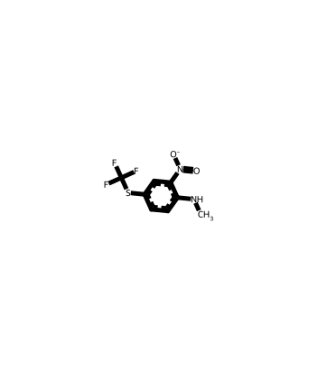 CNc1ccc(SC(F)(F)F)cc1[N+](=O)[O-]